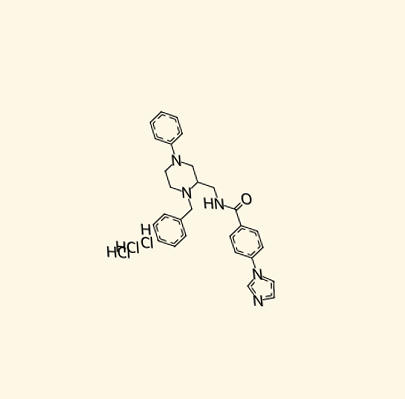 Cl.Cl.Cl.O=C(NCC1CN(c2ccccc2)CCN1Cc1ccccc1)c1ccc(-n2ccnc2)cc1